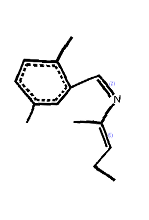 CC/C=C(C)/N=C\c1cc(C)ccc1C